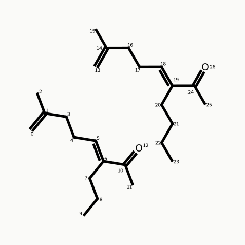 C=C(C)CC/C=C(\CCC)C(C)=O.C=C(C)CC/C=C(\CCCC)C(C)=O